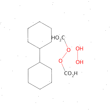 C1CCC(C2CCCCC2)CC1.O=C(O)OOC(=O)O.OO